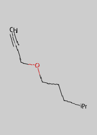 C#CCOCCCC(C)C